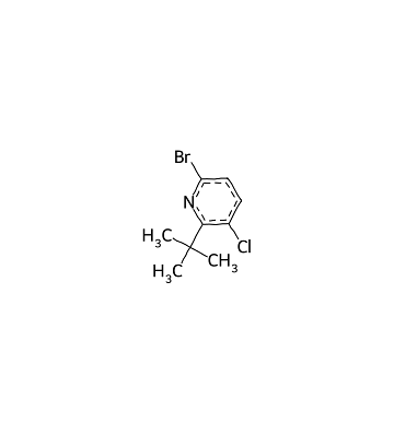 CC(C)(C)c1nc(Br)ccc1Cl